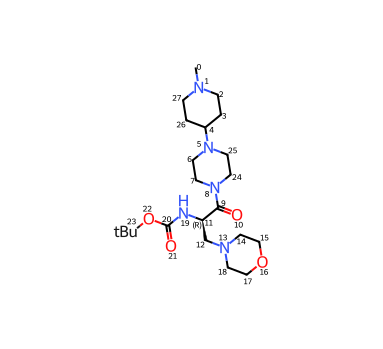 CN1CCC(N2CCN(C(=O)[C@@H](CN3CCOCC3)NC(=O)OC(C)(C)C)CC2)CC1